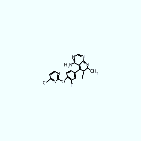 CC1N=c2ncnc(N)c2=C(c2ccc(Oc3nccc(Cl)n3)c(F)c2)C1I